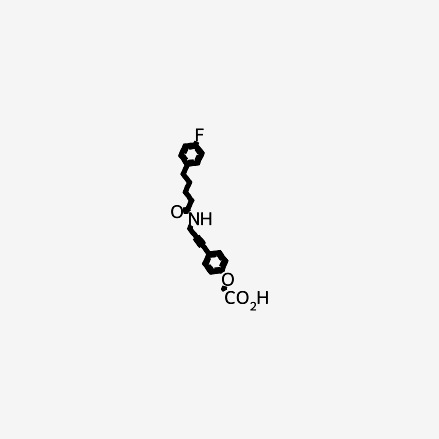 O=C(O)COc1ccc(C#CCNC(=O)CCCCc2ccc(F)cc2)cc1